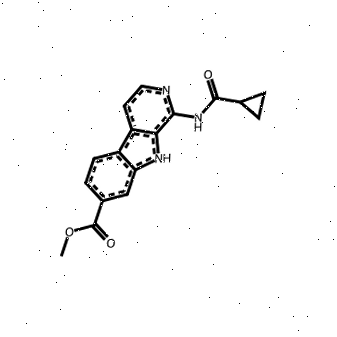 COC(=O)c1ccc2c(c1)[nH]c1c(NC(=O)C3CC3)nccc12